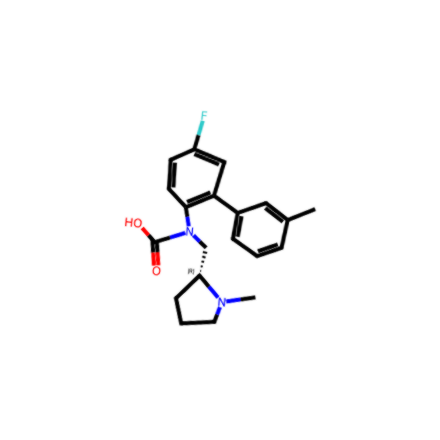 Cc1cccc(-c2cc(F)ccc2N(C[C@H]2CCCN2C)C(=O)O)c1